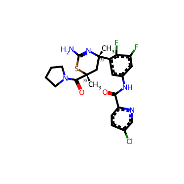 C[C@]1(C(=O)N2CCCC2)C[C@@](C)(c2cc(NC(=O)c3ccc(Cl)cn3)cc(F)c2F)N=C(N)S1